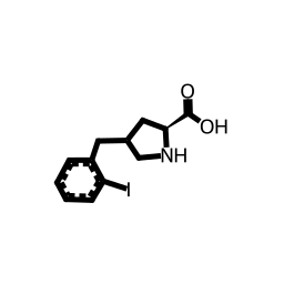 O=C(O)[C@@H]1CC(Cc2ccccc2I)CN1